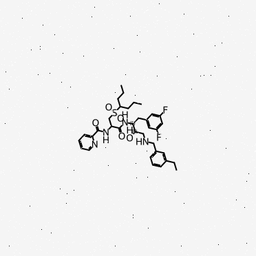 CCCC(CCC)S(=O)(=O)CC(NC(=O)c1ccccn1)C(=O)N[C@@H](Cc1cc(F)cc(F)c1)[C@H](O)CNCc1cccc(CC)c1